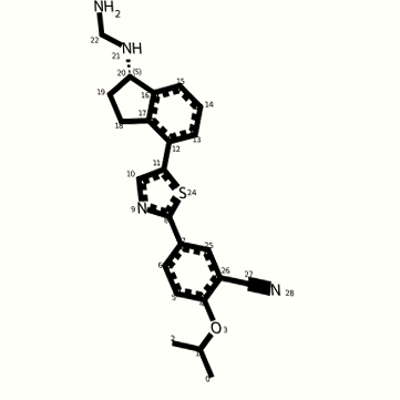 CC(C)Oc1ccc(-c2ncc(-c3cccc4c3CC[C@@H]4NCN)s2)cc1C#N